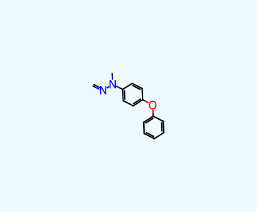 C=NN(C)c1ccc(Oc2ccccc2)cc1